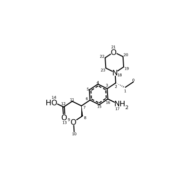 CC[C@H](c1ccc([C@@H](COC)CC(=O)O)cc1N)N1CCOCC1